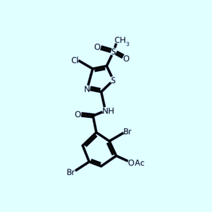 CC(=O)Oc1cc(Br)cc(C(=O)Nc2nc(Cl)c(S(C)(=O)=O)s2)c1Br